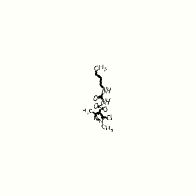 CCCCNC(=O)NS(=O)(=O)c1c(C)nn(C)c1Cl